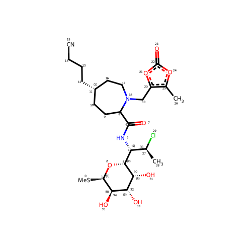 CS[C@H]1O[C@H]([C@H](NC(=O)C2CC[C@H](CCCC#N)CCN2Cc2oc(=O)oc2C)[C@H](C)Cl)[C@H](O)[C@H](O)[C@H]1O